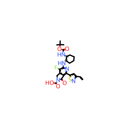 C=Cc1cc(-c2nc(N[C@@H]3CCCC[C@@H]3NC(=O)OC(C)(C)C)c(F)c3c2C(=O)N(C(=O)O)C3)sn1